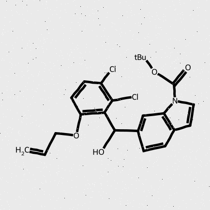 C=CCOc1ccc(Cl)c(Cl)c1C(O)c1ccc2ccn(C(=O)OC(C)(C)C)c2c1